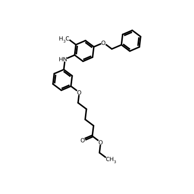 CCOC(=O)CCCCOc1cccc(Nc2ccc(OCc3ccccc3)cc2C)c1